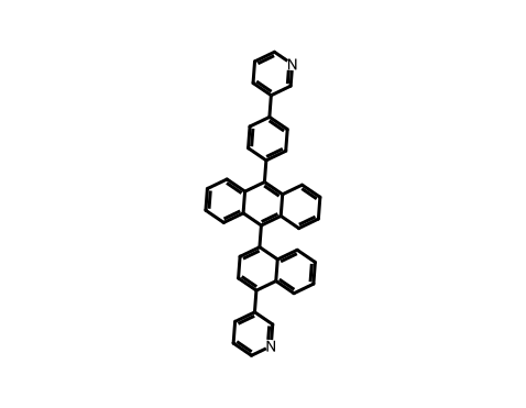 c1cncc(-c2ccc(-c3c4ccccc4c(-c4ccc(-c5cccnc5)c5ccccc45)c4ccccc34)cc2)c1